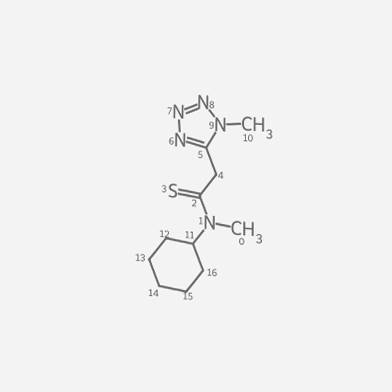 CN(C(=S)Cc1nnnn1C)C1CCCCC1